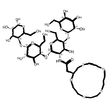 O=C(CC1COCCOCCOCCOCCO1)N[C@H]1C(O)[C@H](O[C@@H]2OC(CO)[C@@H](O)C(O)[C@@H]2O)C(CO)O[C@H]1O[C@@H]1C(CO)O[C@@H](O[C@@H]2C(CO)O[C@@H](O)[C@@H](O)C2O)[C@@H](O)C1O